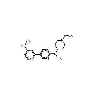 CCCNc1cc(-c2cnc(N(C)C3CCN(CC(F)(F)F)CC3)nc2)ncn1